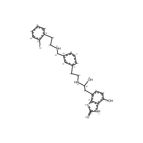 O=c1[nH]c2c(O)ccc(CC(O)NCCc3cccc(CNCCc4ccccc4F)c3)c2s1